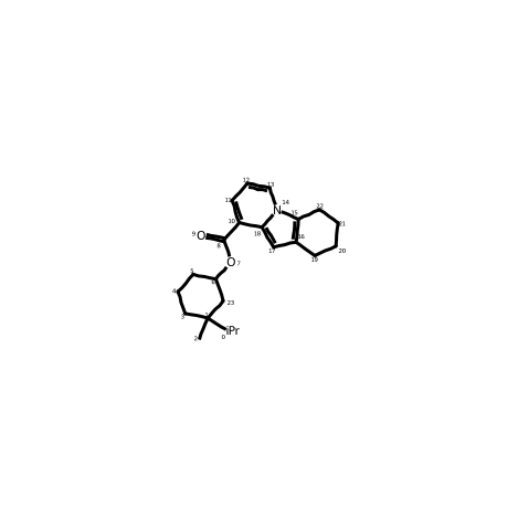 CC(C)C1(C)CCCC(OC(=O)c2cccn3c4c(cc23)CCCC4)C1